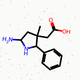 CC1(CC(=O)O)CC(N)NC1c1ccccc1